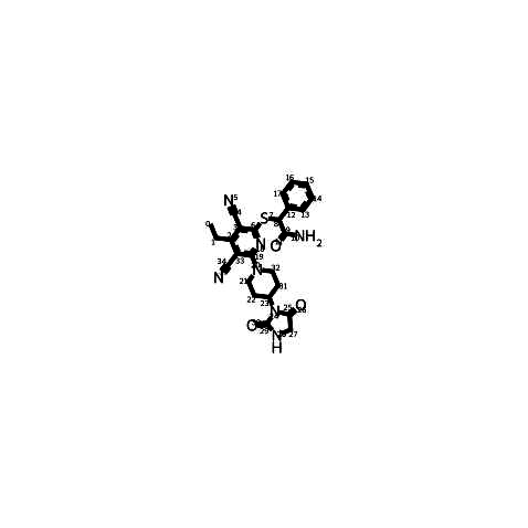 CCc1c(C#N)c(SC(C(N)=O)c2ccccc2)nc(N2CCC(N3C(=O)CNC3=O)CC2)c1C#N